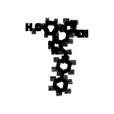 Cc1ccc2c(c1)-n1nnc(CN3CCC(c4ccccc4)CC3)c1Cc1c(C#N)ncn1-2